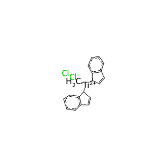 [CH2]=[Ti+2]([CH]1C=Cc2ccccc21)[CH]1C=Cc2ccccc21.[Cl-].[Cl-]